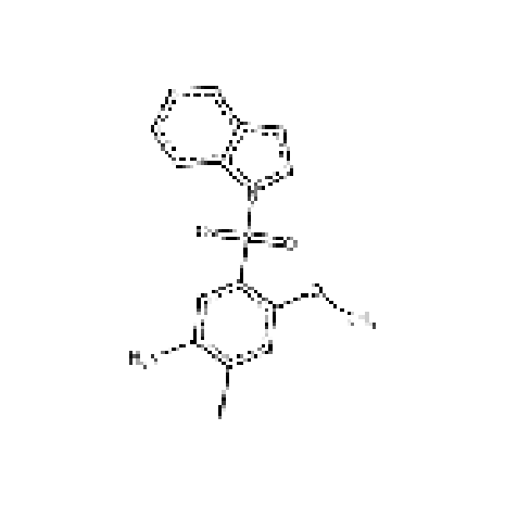 COc1cc(F)c(N)cc1S(=O)(=O)n1ccc2ccccc21